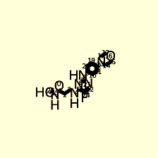 O=C(CCNc1nc(Nc2ccc(N3CCOCC3)cc2)ncc1F)NO